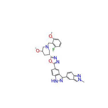 COc1cccc(F)c1CN1CC(OC)C[C@@H](c2nnc(-c3ccc4[nH]nc(-c5ccc6nn(C)cc6c5)c4c3)o2)C1